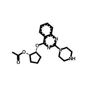 CC(=O)O[C@H]1CCC[C@H]1Oc1nc(N2CCNCC2)nc2ccccc12